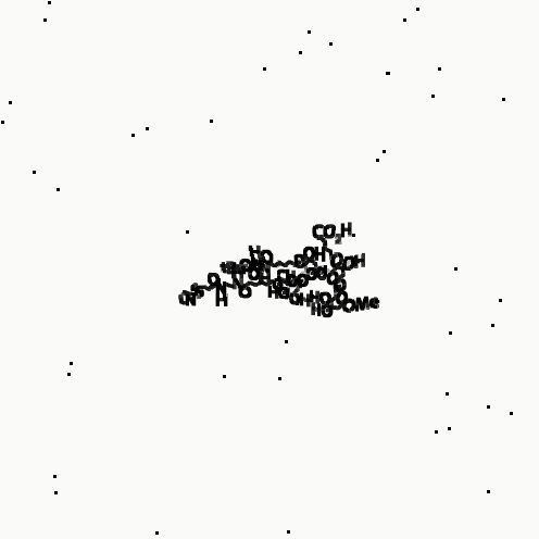 CO[C@@H]1C[C@@H](O)[C@H](O)[C@@H](CO[C@@H]2C[C@@H](O)[C@H](OCCCCCC(=O)O)[C@@H](CO[C@@H]3C[C@@H](O)[C@H](OCCCCCC(=O)NNC(=O)OC(C)(C)C)[C@@H](CO[C@H](CCO)O[C@H](CO)[C@H](C)OCCCCCC(=O)NCCNC(=O)CCSSc4ccccn4)O3)O2)O1